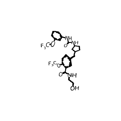 O=C(Nc1cccc(OC(F)(F)F)c1)NC1CCC(Cc2ccc(OC(F)(F)F)c(C(=O)NCCO)c2)C1